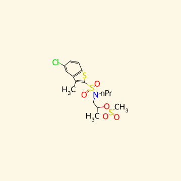 CCCN(CC(C)OS(C)(=O)=O)S(=O)(=O)c1sc2ccc(Cl)cc2c1C